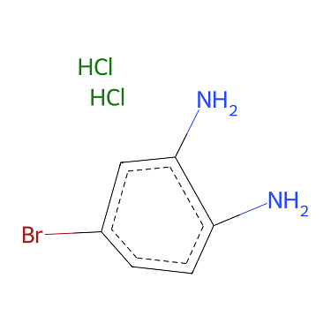 Cl.Cl.Nc1ccc(Br)cc1N